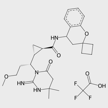 COCC[C@H]([C@@H]1C[C@H]1C(=O)NC1CC2(CCC2)Oc2ccccc21)N1C(=N)NC(C)(C)CC1=O.O=C(O)C(F)(F)F